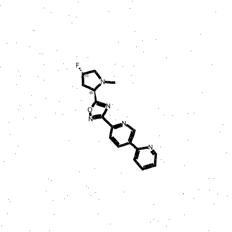 CN1C[C@@H](F)C[C@@H]1c1nc(-c2ccc(-c3ccccn3)cn2)no1